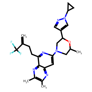 C=C(CCc1nc(N2CC(C)OC(c3cnn(C4CC4)c3)C2)cc2nc(C)c(C)nc12)C(F)(F)F